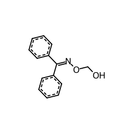 OCON=C(c1ccccc1)c1ccccc1